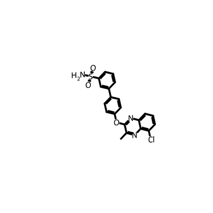 Cc1nc2c(Cl)cccc2nc1Oc1ccc(-c2cccc(S(N)(=O)=O)c2)cc1